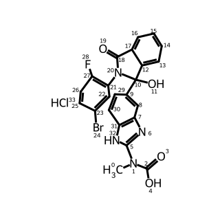 CN(C(=O)O)c1nc2cc(C3(O)c4ccccc4C(=O)N3c3cc(Br)ccc3F)ccc2[nH]1.Cl